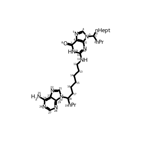 CCCCCCCC(CCC)n1cnc2c(=O)[nH]c(NCCCCCCC(CCC)n3cnc4c(N)ncnc43)nc21